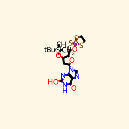 CC(C)(C)[Si](C)(C)OC1C[C@H](n2cnc3c(=O)[nH]c(O)nc32)OC1COP1(=S)SCCS1